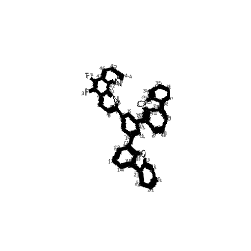 Fc1c(F)c2ccc(-c3cc(-c4cccc5c4oc4ccccc45)cc(-c4cccc5c4oc4ccccc45)c3)nc2c2ncccc12